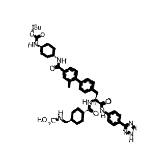 Cc1cc(C(=O)N[C@H]2CC[C@H](NC(=O)OC(C)(C)C)CC2)ccc1-c1ccc(C[C@H](NC(=O)[C@H]2CC[C@H](CNC(=O)O)CC2)C(=O)Nc2ccc(-c3nn[nH]n3)cc2)cc1